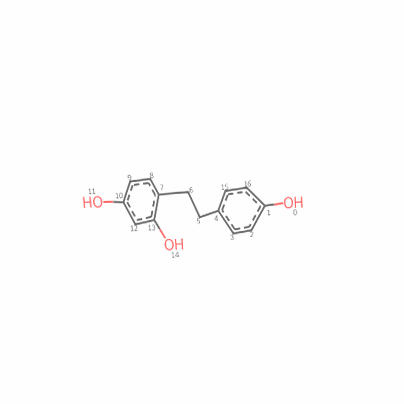 Oc1ccc(CCc2ccc(O)cc2O)cc1